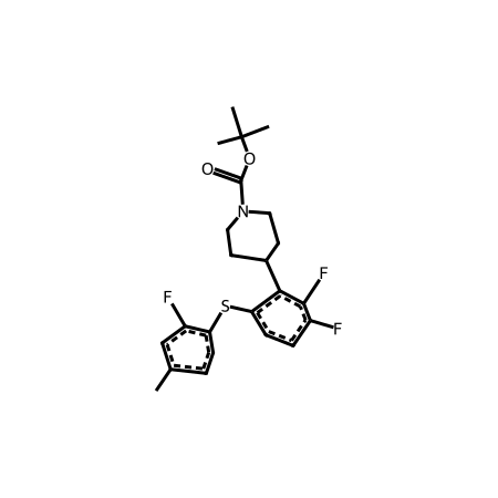 Cc1ccc(Sc2ccc(F)c(F)c2C2CCN(C(=O)OC(C)(C)C)CC2)c(F)c1